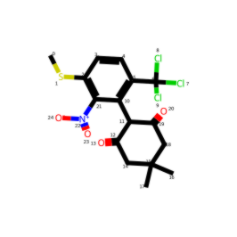 CSc1ccc(C(Cl)(Cl)Cl)c(C2C(=O)CC(C)(C)CC2=O)c1[N+](=O)[O-]